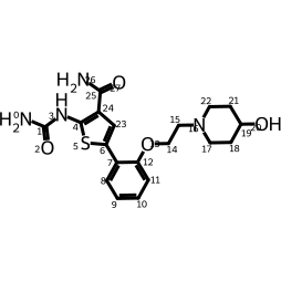 NC(=O)Nc1sc(-c2ccccc2OCCN2CCC(O)CC2)cc1C(N)=O